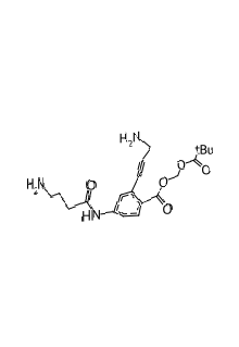 CC(C)(C)C(=O)OCOC(=O)c1ccc(NC(=O)CCCN)cc1C#CCN